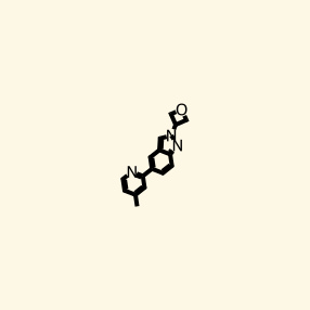 Cc1ccnc(-c2ccc3nn(C4COC4)cc3c2)c1